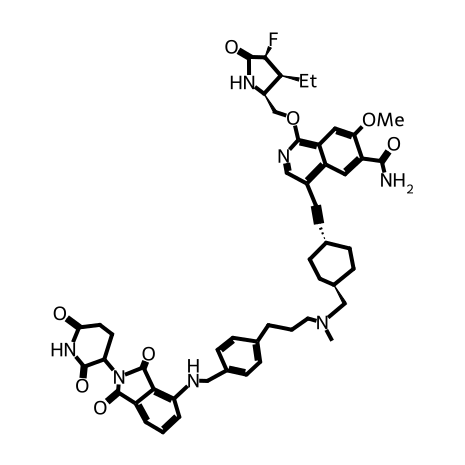 CC[C@@H]1[C@H](F)C(=O)N[C@@H]1COc1ncc(C#C[C@H]2CC[C@H](CN(C)CCCc3ccc(CNc4cccc5c4C(=O)N(C4CCC(=O)NC4=O)C5=O)cc3)CC2)c2cc(C(N)=O)c(OC)cc12